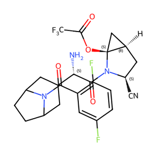 N#C[C@@H]1C[C@@H]2C[C@@]2(OC(=O)C(F)(F)F)N1C(=O)[C@@H](N)C1CC2CCC(C1)N2C(=O)c1cc(F)ccc1F